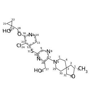 C[C@H]1CC2(CCN(c3ncc(Sc4ccnc(OCC5(O)CC5)c4Cl)nc3CO)CC2)CO1